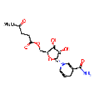 COC(=O)CCC(=O)OCC1O[C@@H](N2C=CCC(C(N)=O)=C2)[C@H](O)[C@@H]1O